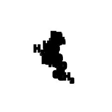 CC(=O)OCC(=O)N1C[C@@H]2COc3c(cn(C)c3C(=O)Nc3cc(F)c(F)c(F)c3)S(=O)(=O)N[C@@H]2C1